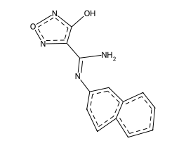 NC(=Nc1ccc2ccccc2c1)c1nonc1O